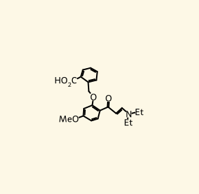 CCN(/C=C/C(=O)c1ccc(OC)cc1OCc1ccccc1C(=O)O)CC